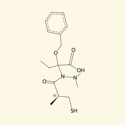 CCC(OCc1ccccc1)(C(=O)O)N(C(=O)[C@H](C)CS)N(C)C